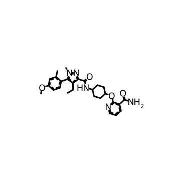 CCc1c(C(=O)NC2CCC(Oc3ncccc3C(N)=O)CC2)nn(C)c1-c1ccc(OC)cc1C